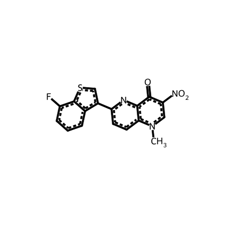 Cn1cc([N+](=O)[O-])c(=O)c2nc(-c3csc4c(F)cccc34)ccc21